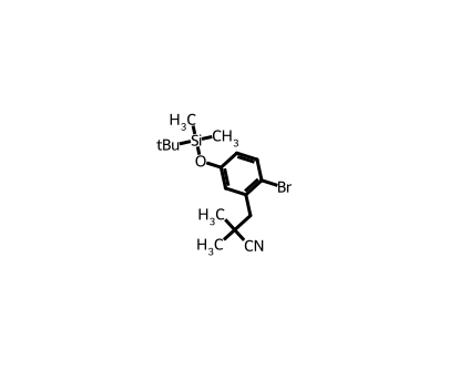 CC(C)(C#N)Cc1cc(O[Si](C)(C)C(C)(C)C)ccc1Br